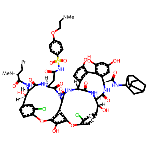 CNCCOc1ccc(S(=O)(=O)NC(=O)C[C@@H]2NC(=O)[C@H](NC(=O)[C@@H](CC(C)C)NC)[C@H](O)c3ccc(c(Cl)c3)Oc3cc4cc(c3O)Oc3ccc(cc3Cl)[C@@H](O)[C@@H]3NC(=O)[C@H](NC(=O)[C@@H]4NC2=O)c2ccc(O)c(c2)-c2c(O)cc(O)cc2[C@@H](C(=O)NC2C4CC5CC(C4)CC2C5)NC3=O)cc1